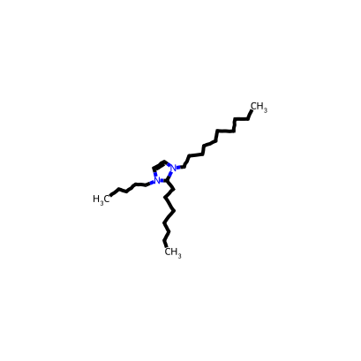 CCCCCCCCCCN1C=CN(CCCCC)C1CCCCCCC